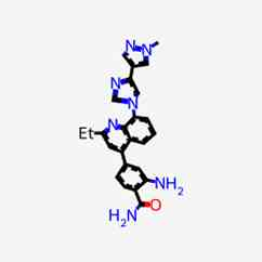 CCc1cc(-c2ccc(C(N)=O)c(N)c2)c2cccc(-n3cnc(-c4cnn(C)c4)c3)c2n1